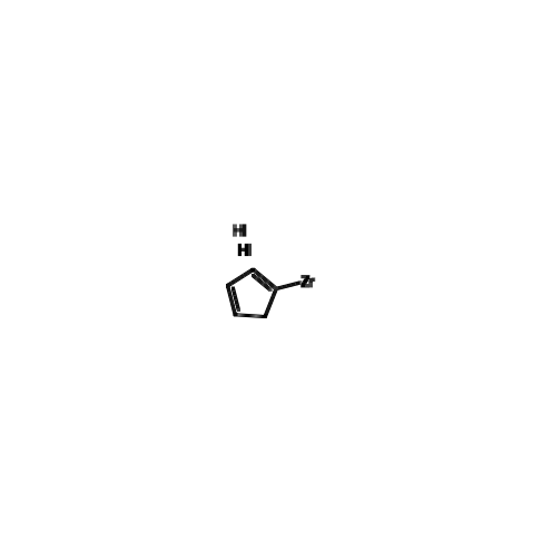 I.I.[Zr][C]1=CC=CC1